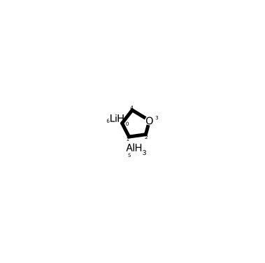 C1CCOC1.[AlH3].[LiH]